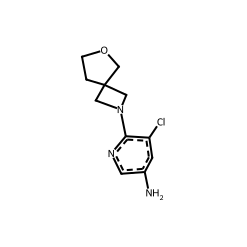 Nc1cnc(N2CC3(CCOC3)C2)c(Cl)c1